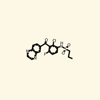 CCCS(=O)(=O)Nc1ccc(F)c(C(=O)c2ccc3nccnc3c2)c1Cl